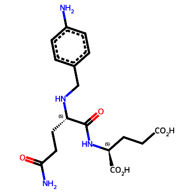 NC(=O)CC[C@H](NCc1ccc(N)cc1)C(=O)N[C@@H](CCC(=O)O)C(=O)O